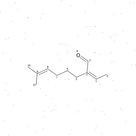 CC=C(C=O)CCCC=C(C)C